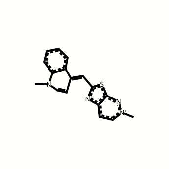 CN1C=C/C(=C\c2nc3cc[n+](C)nc3s2)c2ccccc21